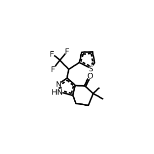 CC1(C)CCc2[nH]nc(C(c3cccs3)C(F)(F)F)c2C1=O